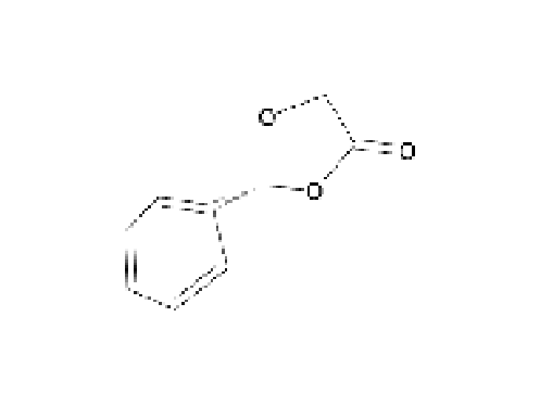 O=C1CO[C@@H](c2ccccc2)O1